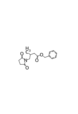 CC(CC(=O)OCc1ccccc1)CN1C(=O)CCC1=O